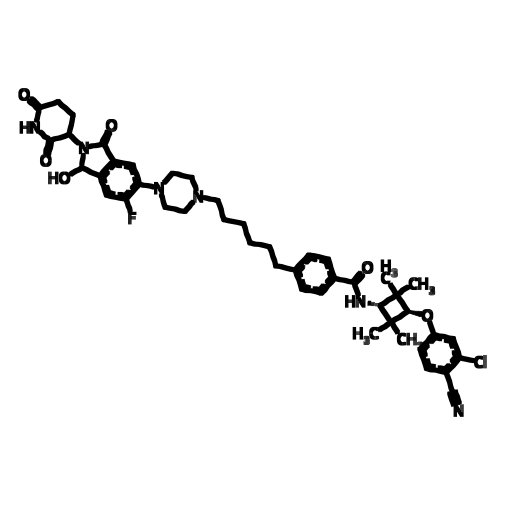 CC1(C)[C@H](NC(=O)c2ccc(CCCCCCN3CCN(c4cc5c(cc4F)C(O)N(C4CCC(=O)NC4=O)C5=O)CC3)cc2)C(C)(C)[C@H]1Oc1ccc(C#N)c(Cl)c1